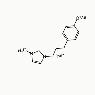 Br.COc1ccc(CCCN2C=CN(C)C2)cc1